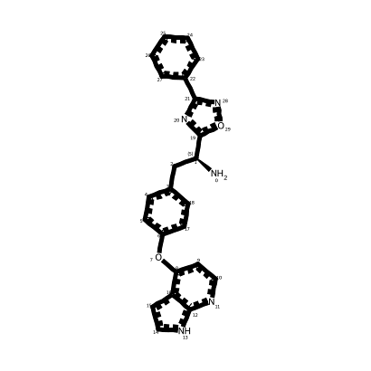 N[C@@H](Cc1ccc(Oc2ccnc3[nH]ccc23)cc1)c1nc(-c2ccccc2)no1